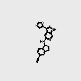 N#Cc1ccc2c(c1)CCC2Nc1cc2c(-c3cnco3)n[nH]c2cn1